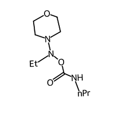 CCCNC(=O)ON(CC)N1CCOCC1